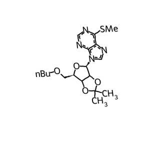 CCCCOC[C@H]1O[C@@H](n2cnc3c(SC)ncnc32)C2OC(C)(C)OC21